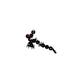 CCCCCC1CCC(c2ccc(-c3ccc(C(=O)Nc4ccc(-c5cc6c7c(c8c(c6cc5OC)OC(c5ccccc5)(c5ccc(N6CCOCC6)cc5)C=C8)C(C)(C)c5c-7cc(C(F)(F)F)cc5C(F)(F)F)cc4)cc3)cc2)CC1